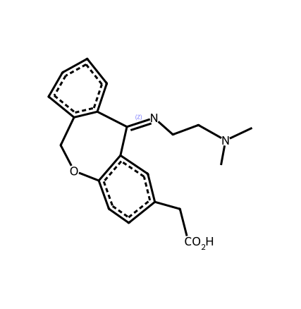 CN(C)CC/N=C1/c2ccccc2COc2ccc(CC(=O)O)cc21